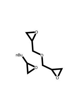 C(OCC1CO1)C1CO1.CCCCC1CO1